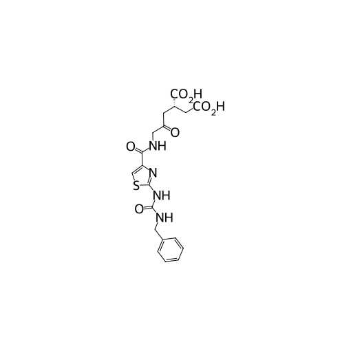 O=C(O)C[C@H](CC(=O)CNC(=O)c1csc(NC(=O)NCc2ccccc2)n1)C(=O)O